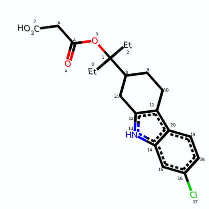 CCC(CC)(OC(=O)CC(=O)O)C1CCc2c([nH]c3cc(Cl)ccc23)C1